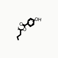 CCCC(I)OC(=O)c1ccc(O)cc1